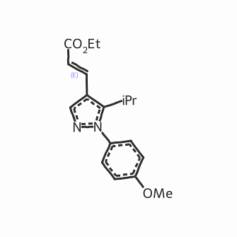 CCOC(=O)/C=C/c1cnn(-c2ccc(OC)cc2)c1C(C)C